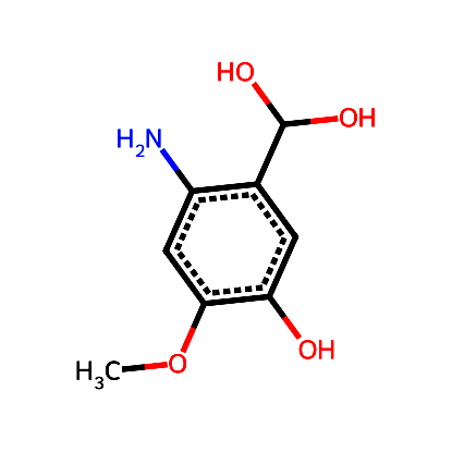 COc1cc(N)c(C(O)O)cc1O